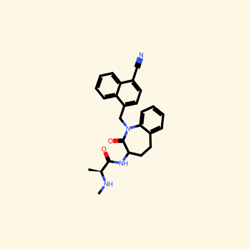 CN[C@@H](C)C(=O)NC1CCc2ccccc2N(Cc2ccc(C#N)c3ccccc23)C1=O